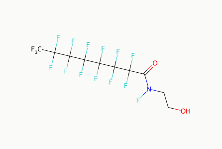 O=C(N(F)CCO)C(F)(F)C(F)(F)C(F)(F)C(F)(F)C(F)(F)C(F)(F)C(F)(F)F